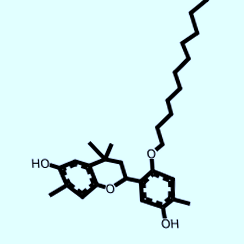 CCCCCCCCCCCCOc1cc(C)c(O)cc1C1CC(C)(C)c2cc(O)c(C)cc2O1